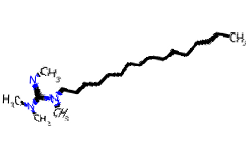 CCCCCCCCCCCCCCCCN(C)/C(=N\C)N(C)C